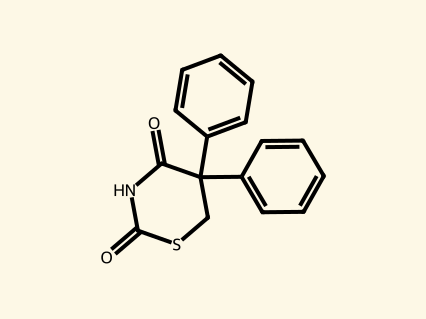 O=C1NC(=O)C(c2ccccc2)(c2ccccc2)CS1